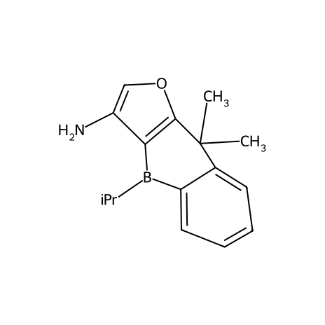 CC(C)B1c2ccccc2C(C)(C)c2occ(N)c21